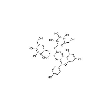 O=C(OC1O[C@H](CO)[C@@H](O)[C@H](O)[C@H]1O)C(Oc1c(-c2ccc(O)cc2)oc2cc(O)cc(O)c2c1=O)C(=O)OC1O[C@H](CO)[C@@H](O)[C@H](O)[C@H]1O